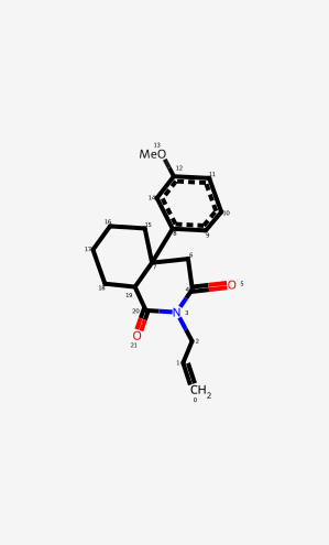 C=CCN1C(=O)CC2(c3cccc(OC)c3)CCCCC2C1=O